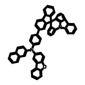 c1ccc2c(c1)-c1ccc(-c3ccc(N(c4ccc5ccccc5c4)c4ccc5oc6ccccc6c5c4)cc3)cc1C21c2ccccc2-n2c3ccccc3c3cccc1c32